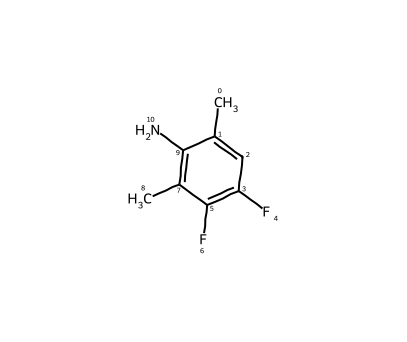 Cc1cc(F)c(F)c(C)c1N